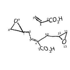 C=CC(=O)O.O=C(O)C(=CCC1CO1)CC1CO1